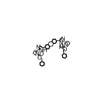 O=C(OCc1ccccc1)N1CCC[C@H]1c1ncc(-c2ccc3c(c2)Cc2ccc(-c4cnc([C@@H]5CCCN5C(=O)OCc5ccccc5)[nH]4)cc2C3)[nH]1